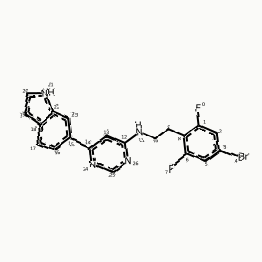 Fc1cc(Br)cc(F)c1CCNc1cc(-c2ccc3cc[nH]c3c2)ncn1